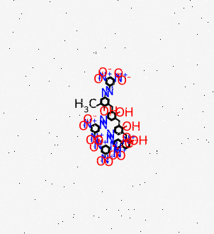 CCc1cc(N=Nc2cc([N+](=O)[O-])cc([N+](=O)[O-])c2)cc(Cc2cc(N=Nc3cc([N+](=O)[O-])cc([N+](=O)[O-])c3)cc(Cc3cc(N=Nc4cc([N+](=O)[O-])cc([N+](=O)[O-])c4)cc(Cc4cc(N=Nc5cc([N+](=O)[O-])cc([N+](=O)[O-])c5)ccc4O)c3O)c2O)c1O